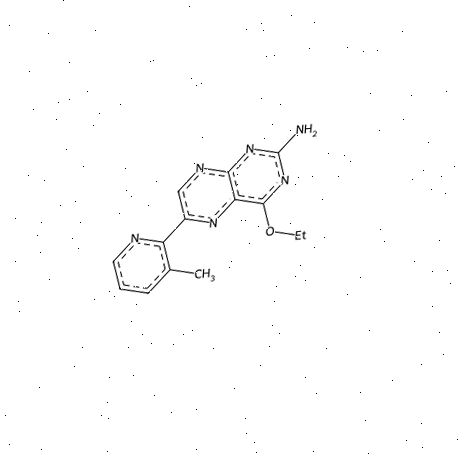 CCOc1nc(N)nc2ncc(-c3ncccc3C)nc12